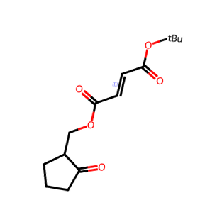 CC(C)(C)OC(=O)/C=C/C(=O)OCC1CCCC1=O